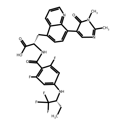 CC[C@@H](Nc1cc(F)c(C(=O)N[C@@H](Cc2ccc(-c3cnc(C)n(C)c3=O)c3ncccc23)C(=O)O)c(F)c1)C(F)(F)F